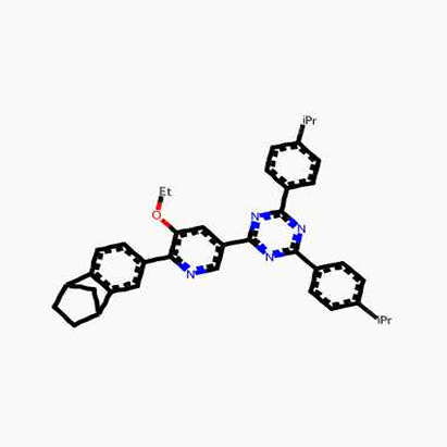 CCOc1cc(-c2nc(-c3ccc(C(C)C)cc3)nc(-c3ccc(C(C)C)cc3)n2)cnc1-c1ccc2c(c1)C1CCC2C1